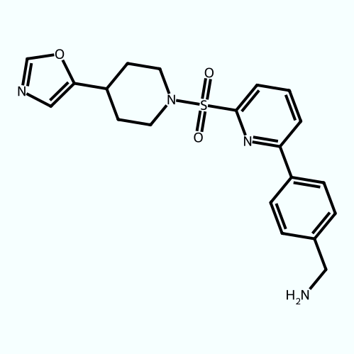 NCc1ccc(-c2cccc(S(=O)(=O)N3CCC(c4cnco4)CC3)n2)cc1